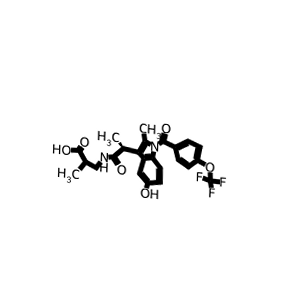 Cc1c([C@H](C)C(=O)NCC(C)C(=O)O)c2cc(O)ccc2n1C(=O)c1ccc(OC(F)(F)F)cc1